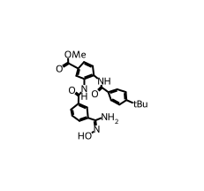 COC(=O)c1ccc(NC(=O)c2ccc(C(C)(C)C)cc2)c(NC(=O)c2cccc(/C(N)=N\O)c2)c1